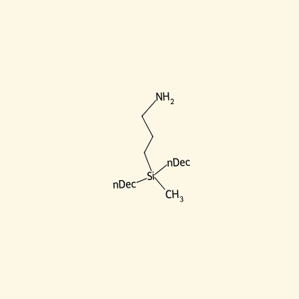 CCCCCCCCCC[Si](C)(CCCN)CCCCCCCCCC